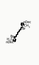 CCCCCCCCCCN1C=CN(C(Br)CCCCCCCCC(Br)N2C=CN(CCCCCCCCCC)C2C)C1C